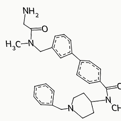 CN(Cc1cccc(-c2ccc(C(=O)N(C)C3CCN(Cc4ccccc4)CC3)cc2)c1)C(=O)CN